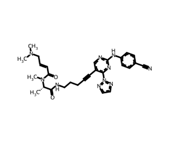 C[C@@H](C(=O)NCCCC#Cc1cnc(Nc2ccc(C#N)cc2)nc1-n1nccn1)N(C)C(=O)/C=C/CN(C)C